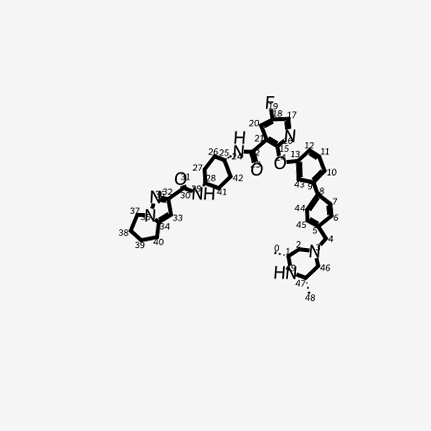 C[C@@H]1CN(Cc2ccc(-c3cccc(Oc4ncc(F)cc4C(=O)N[C@H]4CC[C@@H](NC(=O)c5cc6n(n5)CCCC6)CC4)c3)cc2)C[C@H](C)N1